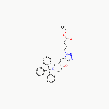 CCOC(=O)CCCn1nncc1C=C1CN(C(c2ccccc2)(c2ccccc2)c2ccccc2)CCC1=O